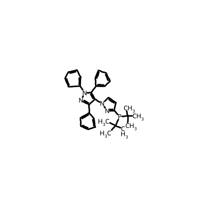 CC(C)(C)P(c1ccn(-c2c(-c3ccccc3)nn(-c3ccccc3)c2-c2ccccc2)n1)C(C)(C)C